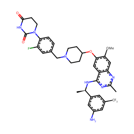 COc1cc2nc(C)nc(N[C@H](C)c3cc(N)cc(C(F)(F)F)c3)c2cc1OC1CCN(Cc2ccc(N3CCC(=O)NC3=O)c(F)c2)CC1